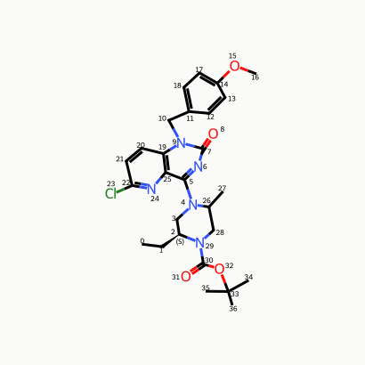 CC[C@H]1CN(c2nc(=O)n(Cc3ccc(OC)cc3)c3ccc(Cl)nc23)C(C)CN1C(=O)OC(C)(C)C